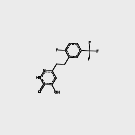 O=c1[nH]nc(CCc2cc(C(F)(F)F)ccc2F)cc1O